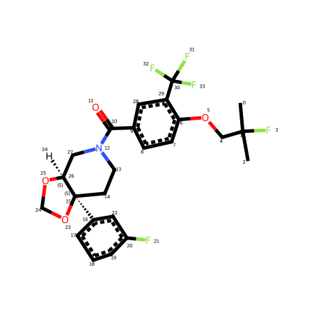 CC(C)(F)COc1ccc(C(=O)N2CC[C@@]3(c4cccc(F)c4)OCO[C@H]3C2)cc1C(F)(F)F